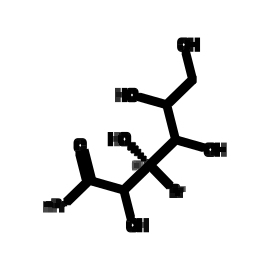 CCCC(=O)C(O)[C@](O)(Br)C(O)C(O)CO